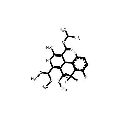 COC(=O)C1=C(C(OC)OC)NC(C)=C(C(=O)OC(C)C)C1c1c(F)ccc(F)c1C(F)(F)F